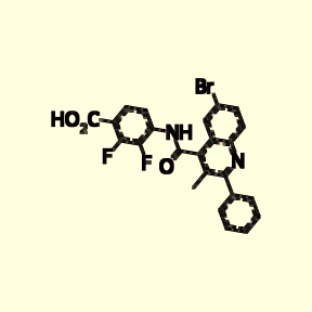 Cc1c(-c2ccccc2)nc2ccc(Br)cc2c1C(=O)Nc1ccc(C(=O)O)c(F)c1F